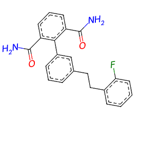 NC(=O)c1cccc(C(N)=O)c1-c1cccc(CCc2ccccc2F)c1